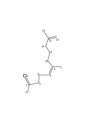 [CH2]C(=O)CCC=C(C)CCCC(=C)C